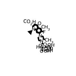 Cc1c(F)c(N2CCN(C(=O)OC(P(=O)(O)O)P(=O)(O)O)C(C)C2)cc2c1c(=O)c(C(=O)O)cn2C1CC1